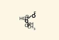 CC(=O)Nc1ccc(O)c(C(=O)/C=C/c2cccc(F)c2)c1